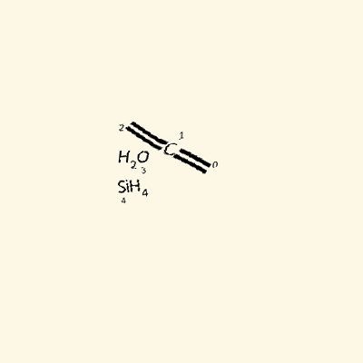 C=C=C.O.[SiH4]